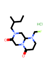 CCC(C)CN1CC2N(CF)CCC(=O)N2CC1=O.Cl